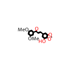 COc1cc(OC)cc(C(=O)/C=C/c2cc(O)c3c(c2)OCO3)c1